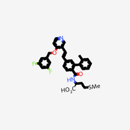 CSCC[C@H](NC(=O)c1ccc(C=Cc2cnccc2OCc2cc(F)cc(F)c2)cc1-c1ccccc1C)C(=O)O